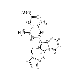 CNC(=O)Oc1c(N)nc(-c2nn(Cc3sccc3F)c3ncccc23)nc1N